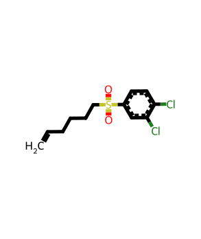 C=CCCCCS(=O)(=O)c1ccc(Cl)c(Cl)c1